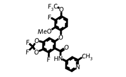 COc1c(Oc2cc3c(c(F)c2C(=O)Nc2ccnc(C)c2)OC(F)(F)O3)ccc(OC(F)(F)F)c1F